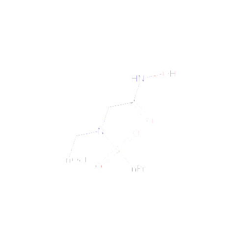 CCCCCCCCCN(CC(=O)NO)S(=O)(=O)CCC